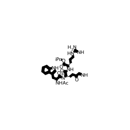 CC(=O)N[C@@H](Cc1c[nH]c2ccccc12)C(=O)N[C@@H](CCC(=O)C=N)C(=O)N[C@@H](CCCNC(=N)N)C(=O)OC(C)C